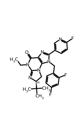 CCN1C(=O)c2nc(-c3ccc(F)nc3)n(Cc3ccc(F)cc3F)c2N2C[C@@H](C(C)(C)C)N=C12